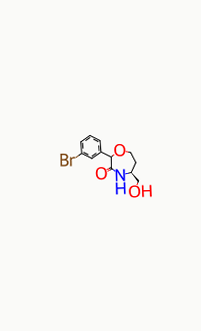 O=C1N[C@H](CO)CCOC1c1cccc(Br)c1